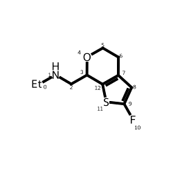 CCNCC1OCCc2cc(F)sc21